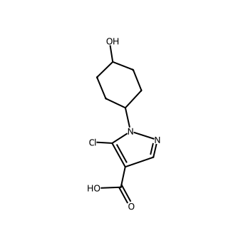 O=C(O)c1cnn(C2CCC(O)CC2)c1Cl